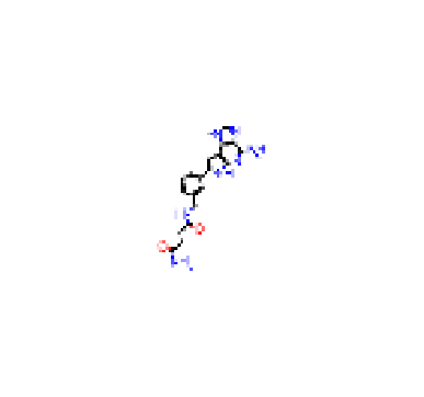 CNc1nc2[nH]c(-c3cccc(CNC(=O)CCC(N)=O)c3)cc2c2c1ncn2C